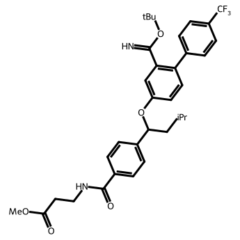 COC(=O)CCNC(=O)c1ccc(C(CC(C)C)Oc2ccc(-c3ccc(C(F)(F)F)cc3)c(C(=N)OC(C)(C)C)c2)cc1